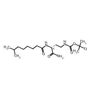 CC(C)CCCCCC(=O)N[C@H](CCNC(=O)OC(C)(C)C)C(N)=O